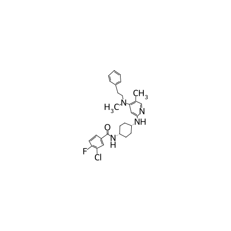 Cc1cnc(N[C@H]2CC[C@@H](NC(=O)c3ccc(F)c(Cl)c3)CC2)cc1N(C)CCc1ccccc1